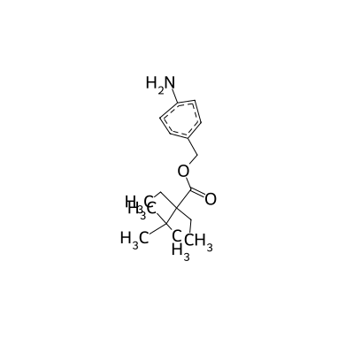 CCC(CC)(C(=O)OCc1ccc(N)cc1)C(C)(C)C